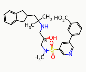 CN(C[C@H](O)CNC(C)(C)CC1Cc2ccccc2C1)S(=O)(=O)c1cncc(-c2cccc(C(=O)O)c2)c1